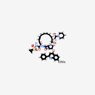 COc1ccc2c(O[C@@H]3C[C@H]4C(=O)N[C@@H](C(=O)NS(=O)(=O)C5CC5)CC=CCCCCC[C@H](CC(=O)N5CCCCC5)C(=O)N4C3)cc(-c3ccccc3)nc2c1